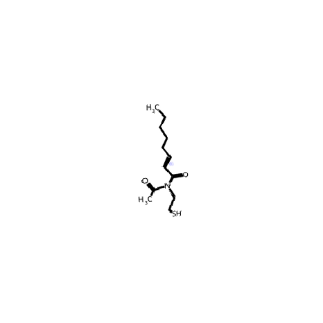 CCCCC/C=C/C(=O)N(CCS)C(C)=O